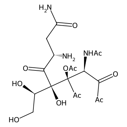 CC(=O)N[C@@H](C(=O)C(C)=O)[C@](OC(C)=O)(C(C)=O)[C@@](O)(C(=O)[C@@H](N)CC(N)=O)[C@H](O)CO